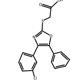 O=C(O)CSc1nc(-c2cccc(Cl)c2)c(-c2ccccc2)o1